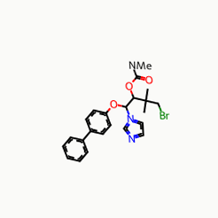 CNC(=O)OC(C(Oc1ccc(-c2ccccc2)cc1)n1ccnc1)C(C)(C)CBr